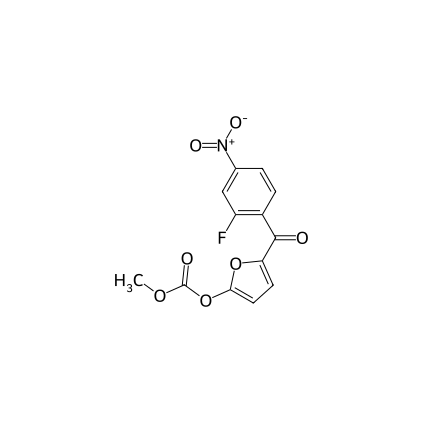 COC(=O)Oc1ccc(C(=O)c2ccc([N+](=O)[O-])cc2F)o1